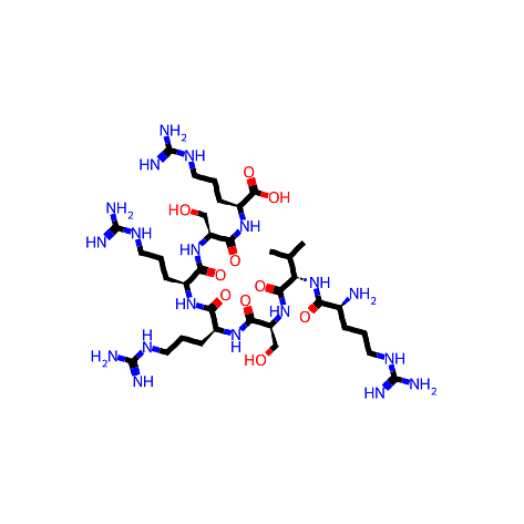 CC(C)[C@H](NC(=O)[C@@H](N)CCCNC(=N)N)C(=O)N[C@@H](CO)C(=O)N[C@@H](CCCNC(=N)N)C(=O)N[C@@H](CCCNC(=N)N)C(=O)N[C@@H](CO)C(=O)N[C@@H](CCCNC(=N)N)C(=O)O